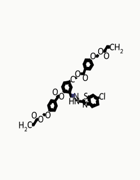 C=CC(=O)OCOc1ccc(C(=O)OCCc2ccc(OC(=O)c3ccc(OCOC(=O)C=C)cc3)c(/C=N/Nc3nc4ccc(Cl)cc4s3)c2)cc1